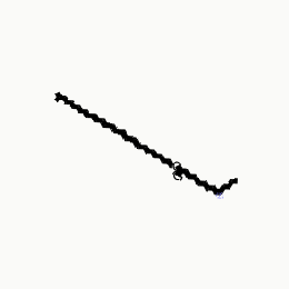 CCCC/C=C\CCCCCCCC(=O)OCCCCCCCCCCCCCCCCCCCCCCCCCCC(C)C